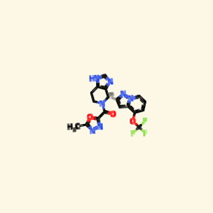 Cc1nnc(C(=O)N2CCc3[nH]cnc3[C@@H]2c2cc3c(OC(F)(F)F)cccn3n2)o1